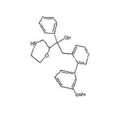 COc1cccc(-c2ccccc2CC(O)(c2ccccc2)C2CNCCO2)c1